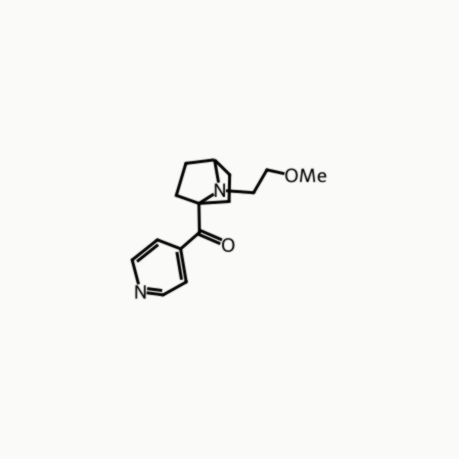 COCCN1C2CCC1(C(=O)c1ccncc1)CC2